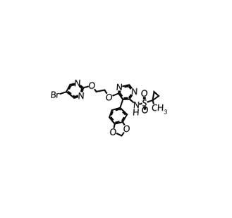 CC1(S(=O)(=O)Nc2ncnc(OCCOc3ncc(Br)cn3)c2-c2ccc3c(c2)OCO3)CC1